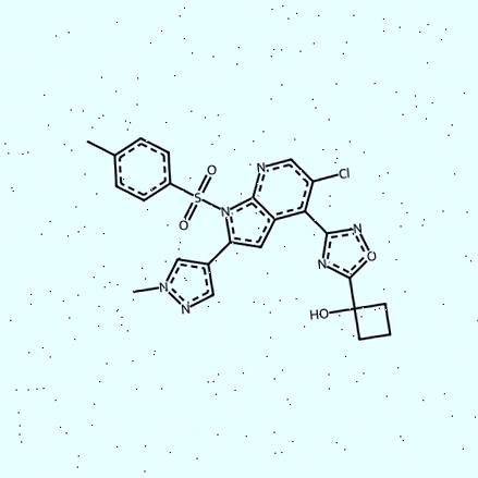 Cc1ccc(S(=O)(=O)n2c(-c3cnn(C)c3)cc3c(-c4noc(C5(O)CCC5)n4)c(Cl)cnc32)cc1